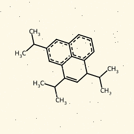 CC(C)C1=CC(C(C)C)c2cccc3cc(C(C)C)cc1c23